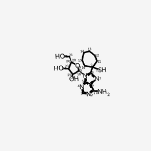 Nc1ncnc2c1nc(C1(S)CCCCCC1)n2[C@@H]1O[C@H](CO)C(O)C1O